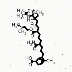 CCC(C)(CCCC(CCCC(CCCC1C(C)C2CC(C(=O)O)C1C2)C(N)=O)C(=O)OCCN(C)C)C(=O)NC(C)(C)C